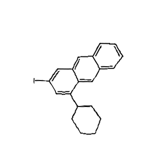 Ic1cc(C2CCCCC2)c2cc3ccccc3cc2c1